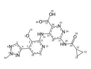 COc1c(-c2cnn(C)n2)ccnc1Nc1cc(NC(=O)C2CC2)nnc1C(=O)O